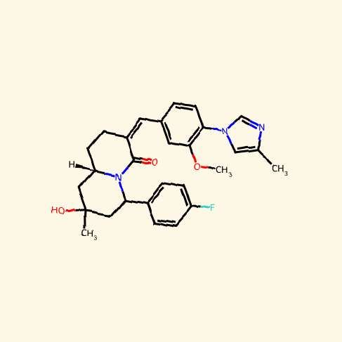 COc1cc(C=C2CC[C@H]3CC(C)(O)CC(c4ccc(F)cc4)N3C2=O)ccc1-n1cnc(C)c1